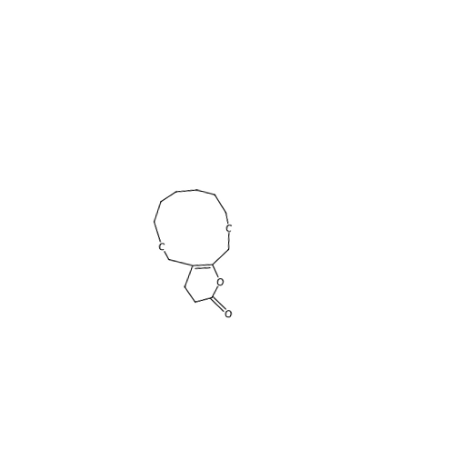 O=C1CCC2=C(CCCCCCCCCC2)O1